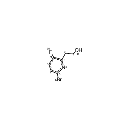 OCCc1nc(Br)ccc1F